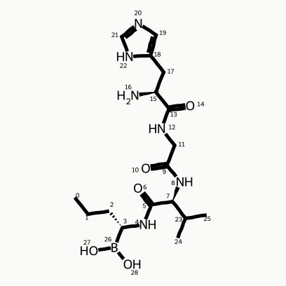 CCC[C@H](NC(=O)[C@@H](NC(=O)CNC(=O)[C@@H](N)Cc1cnc[nH]1)C(C)C)B(O)O